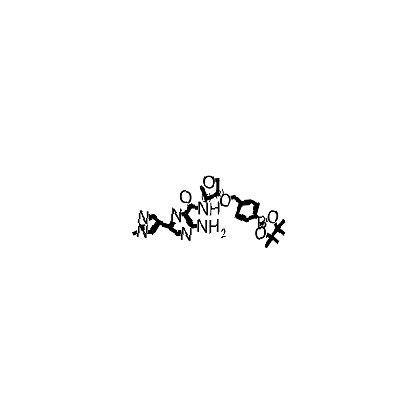 Cn1cc(-c2cnc(N)c(C(=O)N[C@H]3COC[C@@H]3OCc3ccc(B4OC(C)(C)C(C)(C)O4)cc3)n2)cn1